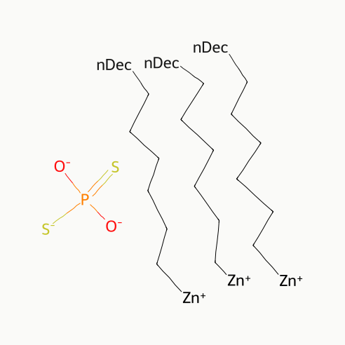 CCCCCCCCCCCCCCC[CH2][Zn+].CCCCCCCCCCCCCCC[CH2][Zn+].CCCCCCCCCCCCCCC[CH2][Zn+].[O-]P([O-])(=S)[S-]